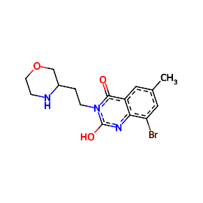 Cc1cc(Br)c2nc(O)n(CCC3COCCN3)c(=O)c2c1